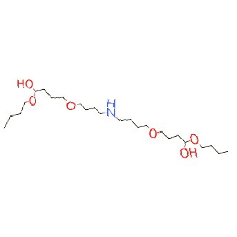 CCCCOC(O)CCCOCCCCNCCCCOCCCC(O)OCCCC